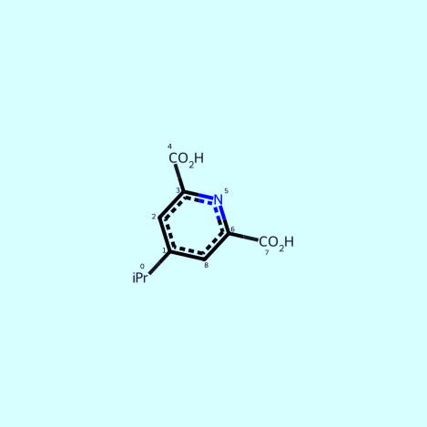 CC(C)c1cc(C(=O)O)nc(C(=O)O)c1